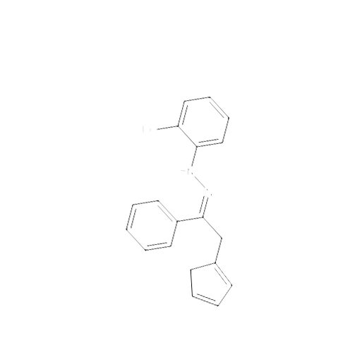 Cc1ccccc1NN=C(CC1=CC=CC1)c1ccccc1